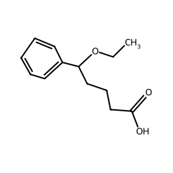 CCOC(CCCC(=O)O)c1ccccc1